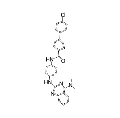 CN(C)c1nc(Nc2ccc(NC(=O)c3ccc(-c4ccc(Cl)cc4)cc3)cc2)nc2ccccc12